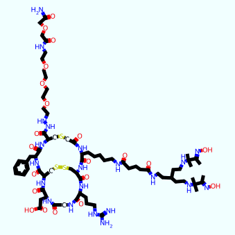 CC(=NO)C(C)(C)NCCC(CCNC(=O)CCCC(=O)NCCCCCC1NC(=O)CSCC(C(=O)NNCCOCCOCCOCCNC(=O)COCC(N)=O)NC(=O)C(Cc2ccccc2)NC(=O)C2CSSCC(NC1=O)C(=O)NC(CCCNC(=N)N)C(=O)NCC(=O)NC(CC(=O)O)C(=O)N2)CCNC(C)(C)C(C)=NO